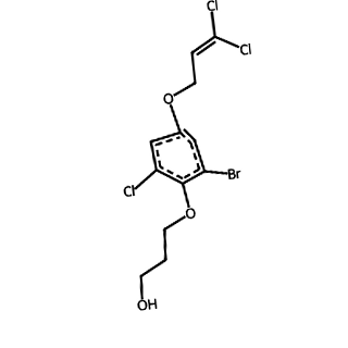 OCCCOc1c(Cl)cc(OCC=C(Cl)Cl)cc1Br